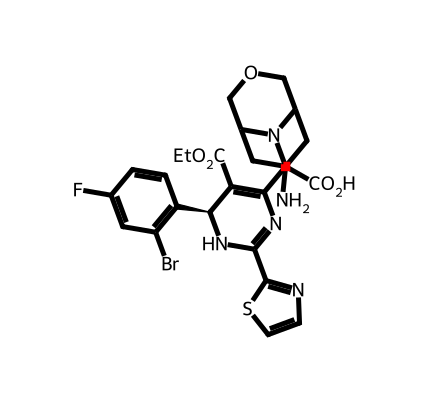 CCOC(=O)C1=C(CN2C3COCC2CC(N)(C(=O)O)C3)N=C(c2nccs2)N[C@H]1c1ccc(F)cc1Br